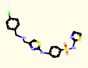 O=S(=O)(Nc1nccs1)c1ccc(Nc2nc(CNCc3ccc(Cl)cc3)cs2)cc1